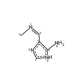 C/N=C\c1nc[nH]c1N